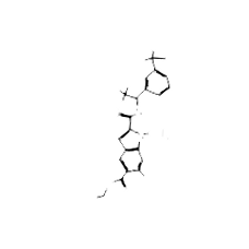 CCOC(=O)c1cc2cc(C(=O)NC(c3cccc(C(F)(F)F)c3)C(F)(F)F)n(C)c2cc1Cl